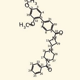 COc1ccc(-c2ccc(C(=O)N3CC(N4CCN(C(=O)c5ccccc5)CC4)C3)cc2)c(OC)c1